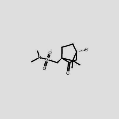 CN(C)S(=O)(=O)C[C@]12CC[C@@H](CC1=O)C2(C)C